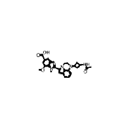 COc1cc(C(=O)O)cc2nc(-c3cc4cccc5c4n3CCN5C3CC(NC(C)=O)C3)n(C)c12